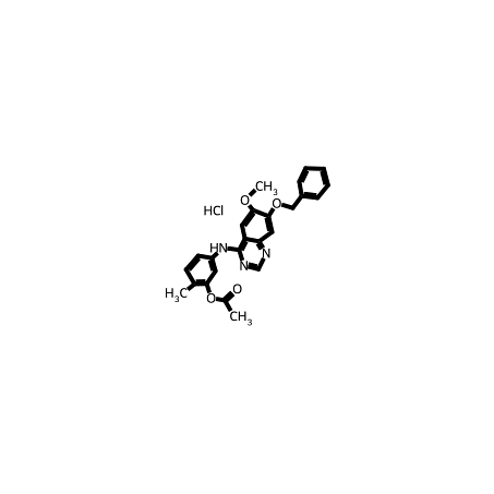 COc1cc2c(Nc3ccc(C)c(OC(C)=O)c3)ncnc2cc1OCc1ccccc1.Cl